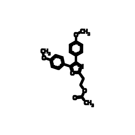 COc1ccc(-c2nc(CCOC(C)=O)oc2-c2ccc(OC)cc2)cc1